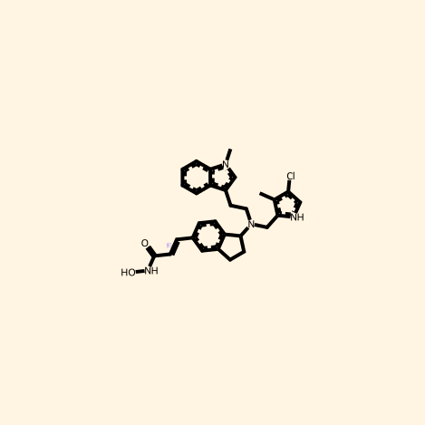 Cc1c(Cl)c[nH]c1CN(CCc1cn(C)c2ccccc12)C1CCc2cc(/C=C/C(=O)NO)ccc21